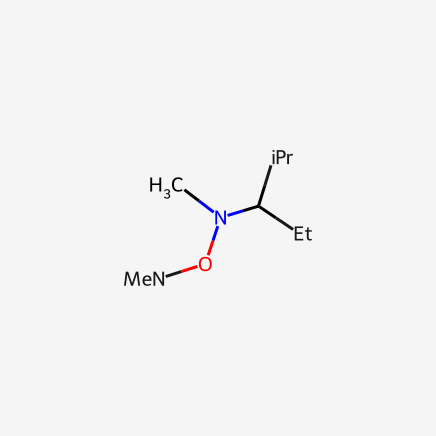 CCC(C(C)C)N(C)ONC